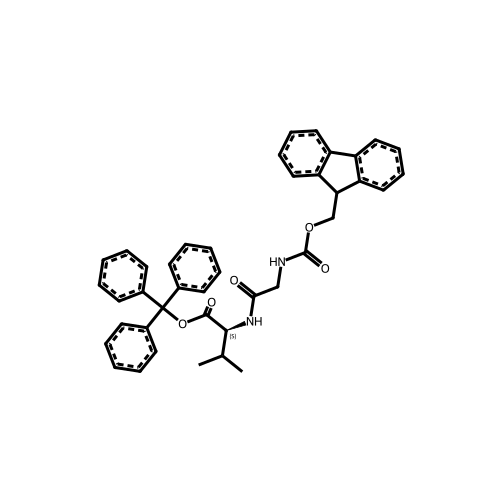 CC(C)[C@H](NC(=O)CNC(=O)OCC1c2ccccc2-c2ccccc21)C(=O)OC(c1ccccc1)(c1ccccc1)c1ccccc1